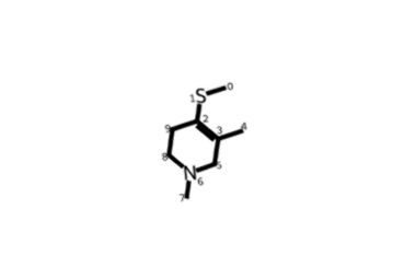 CSC1=C(C)CN(C)CC1